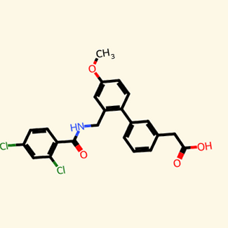 COc1ccc(-c2cccc(CC(=O)O)c2)c(CNC(=O)c2ccc(Cl)cc2Cl)c1